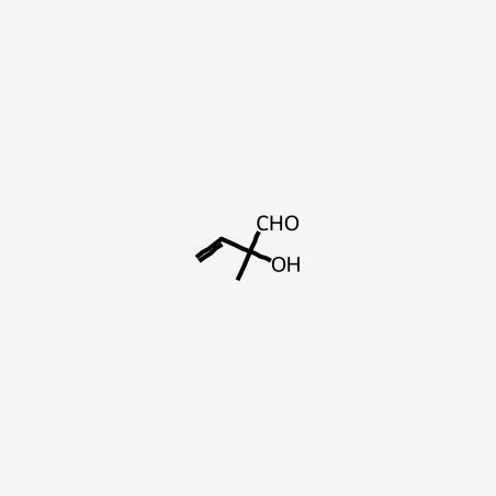 C=CC(C)(O)C=O